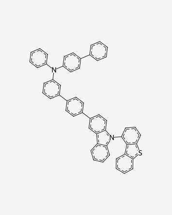 c1ccc(-c2ccc(N(c3ccccc3)c3cccc(-c4ccc(-c5ccc6c(c5)c5ccccc5n6-c5cccc6sc7ccccc7c56)cc4)c3)cc2)cc1